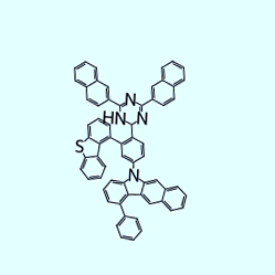 c1ccc(-c2cccc3c2c2cc4ccccc4cc2n3-c2ccc(C3N=C(c4ccc5ccccc5c4)N=C(c4ccc5ccccc5c4)N3)c(-c3cccc4sc5ccccc5c34)c2)cc1